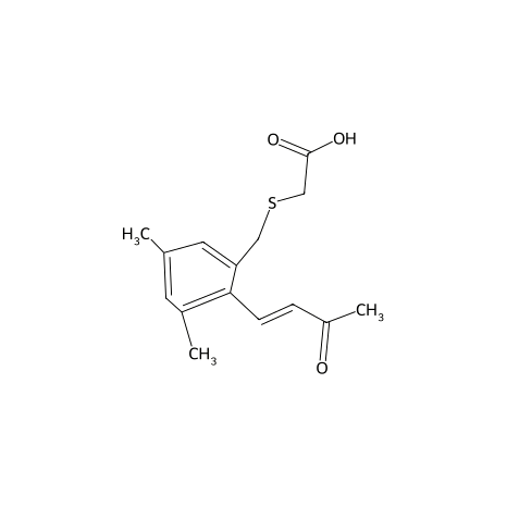 CC(=O)/C=C/c1c(C)cc(C)cc1CSCC(=O)O